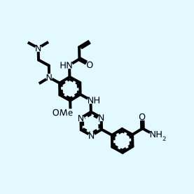 C=CC(=O)Nc1cc(Nc2ncnc(-c3cccc(C(N)=O)c3)n2)c(OC)cc1N(C)CCN(C)C